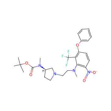 CN(CCN1CC[C@@H](N(C)C(=O)OC(C)(C)C)C1)c1c([N+](=O)[O-])ccc(Oc2ccccc2)c1C(F)(F)F